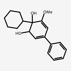 COC1=CC(c2ccccc2)=CC(O)C1(O)C1CCCCC1